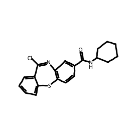 O=C(NC1CCCCC1)c1ccc2c(c1)N=C(Cl)c1ccccc1S2